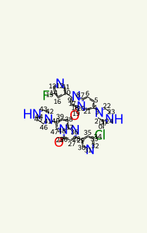 C[C@H]1CN(c2ccc3nc(-c4cncc(F)c4)cc(=O)n3c2)CCN1.O=c1cc(-c2cncc(Cl)c2)nc2ccc(N3CCNCC3)cn12